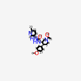 COc1ccc([C@@H]2CCN(C(C)=O)C[C@H]2NC(=O)Nc2ccc(C)nc2)cc1